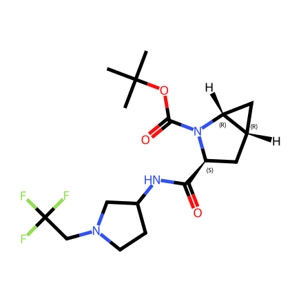 CC(C)(C)OC(=O)N1[C@@H]2C[C@@H]2C[C@H]1C(=O)NC1CCN(CC(F)(F)F)C1